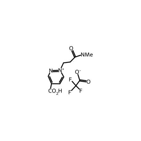 CNC(=O)CC[n+]1ccc(C(=O)O)cn1.O=C([O-])C(F)(F)F